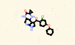 O=C(c1ccc(Oc2ccccc2)cc1Cl)c1c[nH]c2ncc3c(c12)NC1(CC1)C(=O)N3